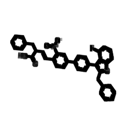 O=C(O)C(C=Cc1ccc(-c2ccc(-c3c(Cc4ccccc4)oc4cccc(F)c34)cc2)cc1[N+](=O)[O-])Cc1ccccc1